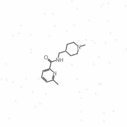 Cc1cccc(C(=O)NCC2CCN(C)CC2)n1